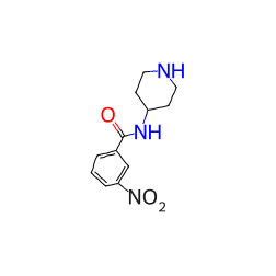 O=C(NC1CCNCC1)c1cccc([N+](=O)[O-])c1